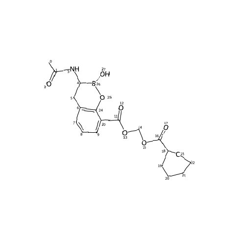 CC(=O)NC1Cc2cccc(C(=O)OCOC(=O)C3CCCCC3)c2OB1O